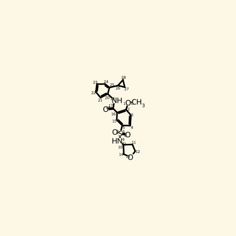 COc1ccc(S(=O)(=O)N[C@H]2CCOC2)cc1C(=O)Nc1ccccc1C1CC1